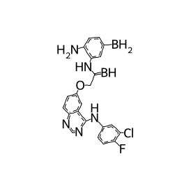 B=C(COc1ccc2ncnc(Nc3ccc(F)c(Cl)c3)c2c1)Nc1cc(B)ccc1N